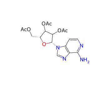 CC(=O)OC[C@H]1O[C@@H](n2cnc3c(N)nccc32)C(OC(C)=O)C1OC(C)=O